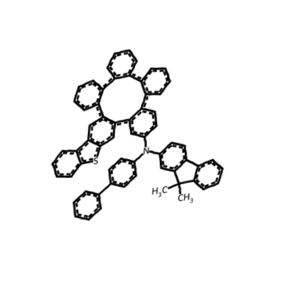 CC1(C)c2ccccc2-c2ccc(N(c3ccc(-c4ccccc4)cc3)c3ccc4c5ccccc5c5ccccc5c5ccccc5c5cc6c(cc5c4c3)sc3ccccc36)cc21